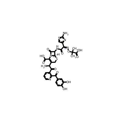 CC(C)(O/N=C(\C(=O)NC1C(=O)N2C(C(=O)O)=C(C(N)C(=O)c3cccnc3C(=O)c3ccc(O)c(O)c3)CS[C@H]12)c1csc(N)n1)C(=O)O